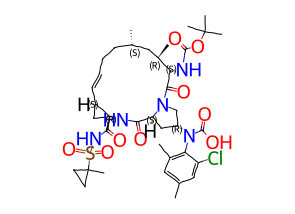 Cc1cc(C)c(N(C(=O)O)[C@@H]2C[C@H]3C(=O)N[C@]4(C(=O)NS(=O)(=O)C5(C)CC5)C[C@H]4C=CCC[C@H](C)C[C@@H](C)[C@H](NC(=O)OC(C)(C)C)C(=O)N3C2)c(Cl)c1